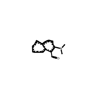 CN(C)c1ccc2ccccc2c1C=O